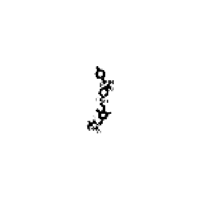 Cc1cc(CN2C(=O)NC(C)(C)C2=O)cc(C)c1CCS(=O)(=O)N1CCC2(CC1)N=C(C1CCC(C)CC1)NC2=O